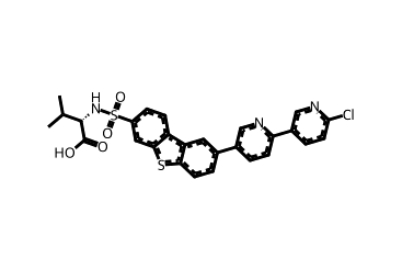 CC(C)[C@H](NS(=O)(=O)c1ccc2c(c1)sc1ccc(-c3ccc(-c4ccc(Cl)nc4)nc3)cc12)C(=O)O